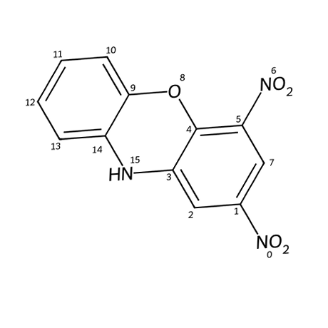 O=[N+]([O-])c1cc2c(c([N+](=O)[O-])c1)Oc1ccccc1N2